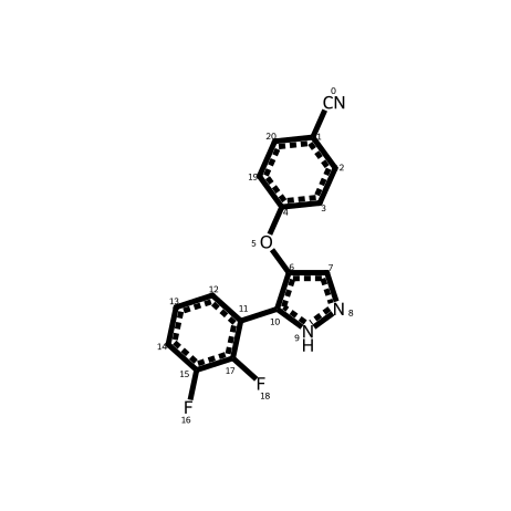 N#Cc1ccc(Oc2cn[nH]c2-c2cccc(F)c2F)cc1